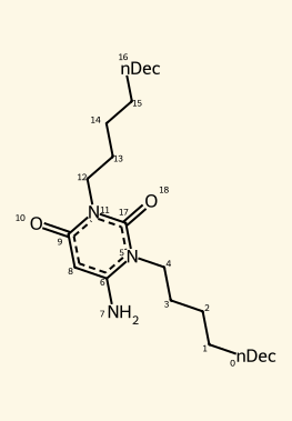 CCCCCCCCCCCCCCn1c(N)cc(=O)n(CCCCCCCCCCCCCC)c1=O